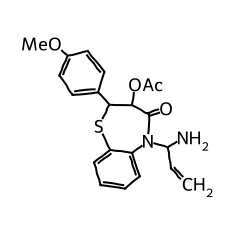 C=CC(N)N1C(=O)C(OC(C)=O)C(c2ccc(OC)cc2)Sc2ccccc21